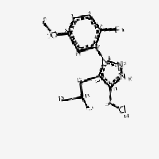 COc1ccc(F)c(-n2nnc(CCl)c2CC(C)C)c1